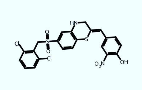 O=[N+]([O-])c1cc(C=C2CNc3cc(S(=O)(=O)Cc4c(Cl)cccc4Cl)ccc3S2)ccc1O